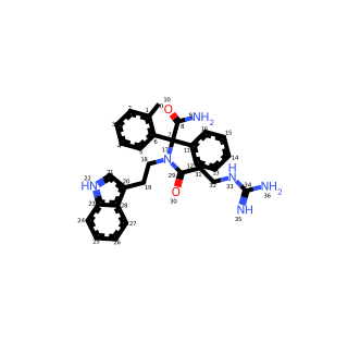 Cc1ccccc1C(C(N)=O)(c1ccccc1)N(CCc1c[nH]c2ccccc12)C(=O)CCNC(=N)N